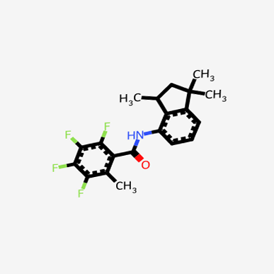 Cc1c(F)c(F)c(F)c(F)c1C(=O)Nc1cccc2c1C(C)CC2(C)C